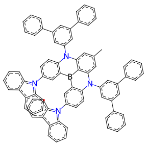 Cc1cc2c3c(c1)N(c1cc(-c4ccccc4)cc(-c4ccccc4)c1)c1ccc(-n4c5ccccc5c5ccccc54)cc1B3c1cc(-n3c4ccccc4c4ccccc43)ccc1N2c1cc(-c2ccccc2)cc(-c2ccccc2)c1